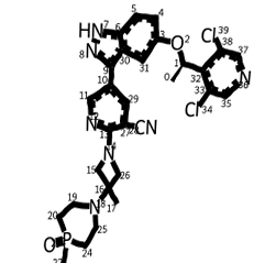 C[C@@H](Oc1ccc2[nH]nc(-c3cnc(N4CC(C)(N5CCP(C)(=O)CC5)C4)c(C#N)c3)c2c1)c1c(Cl)cncc1Cl